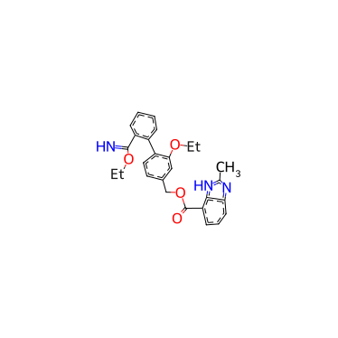 CCOC(=N)c1ccccc1-c1ccc(COC(=O)c2cccc3nc(C)[nH]c23)cc1OCC